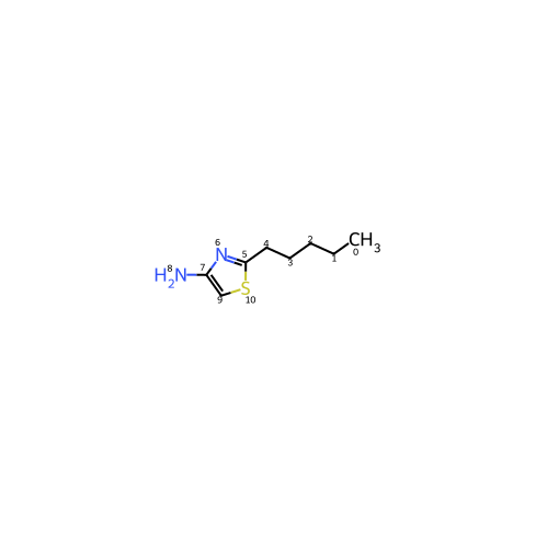 CCCCCc1nc(N)cs1